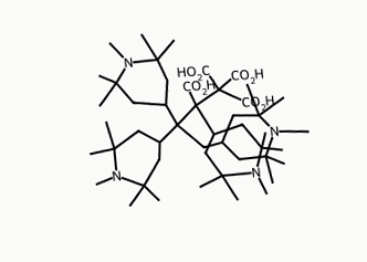 CN1C(C)(C)CC(CC(C2CC(C)(C)N(C)C(C)(C)C2)(C2CC(C)(C)N(C)C(C)(C)C2)C(C(=O)O)(C2CC(C)(C)N(C)C(C)(C)C2)C(C(=O)O)(C(=O)O)C(=O)O)CC1(C)C